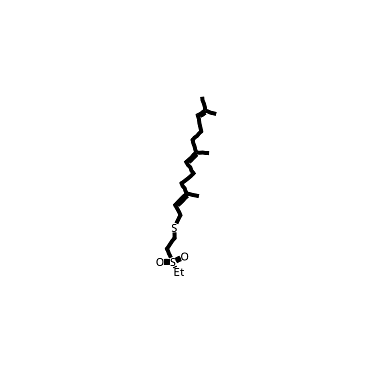 CCS(=O)(=O)CCSC/C=C(\C)CC/C=C(\C)CCC=C(C)C